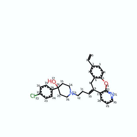 C=Cc1ccc2c(c1)CC(=CCCN1CCC(O)(c3ccc(Cl)cc3)CC1)c1cccnc1O2